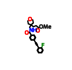 COC(=O)CCC1(CNC(=O)c2ccc(C#Cc3ccccc3F)cc2)CCOCC1